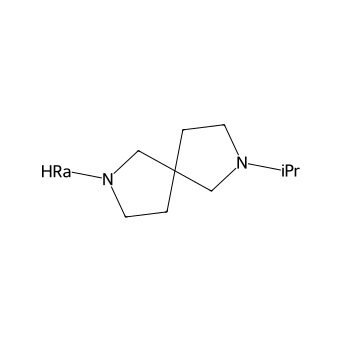 CC(C)N1CCC2(CC[N]([RaH])C2)C1